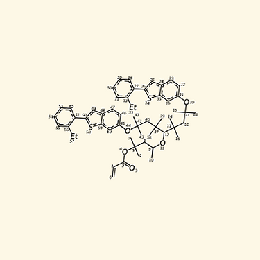 C=CC(=O)OC(C)(C)CC(C)OC(C(C)(C)CC(C)(C)Oc1ccc2cc(-c3ccccc3CC)sc2c1)C(C)(C)CC(C)(C)Oc1ccc2cc(-c3ccccc3CC)sc2c1